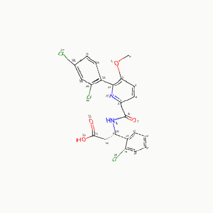 COc1ccc(C(=O)N[C@@H](CC(=O)O)c2ccccc2Cl)nc1-c1ccc(Cl)cc1Cl